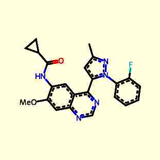 COc1cc2ncnc(-c3cc(C)nn3-c3ccccc3F)c2cc1NC(=O)C1CC1